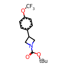 CC(C)(C)OC(=O)N1CC(c2ccc(OC(F)(F)F)cc2)C1